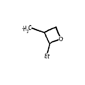 [CH2]C1COC1CC